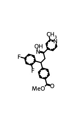 COC(=O)c1ccc(C(CC(=NO)c2ccnc(C)c2)c2ccc(F)cc2F)cc1